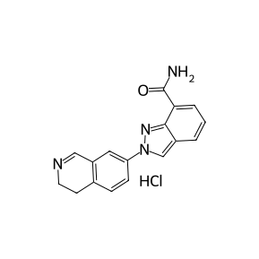 Cl.NC(=O)c1cccc2cn(-c3ccc4c(c3)C=NCC4)nc12